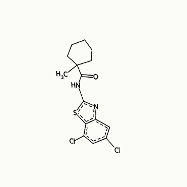 CC1(C(=O)Nc2nc3cc(Cl)cc(Cl)c3s2)CCCCC1